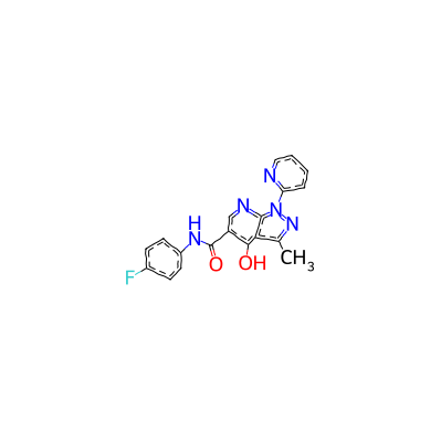 Cc1nn(-c2ccccn2)c2ncc(C(=O)Nc3ccc(F)cc3)c(O)c12